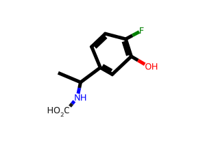 CC(NC(=O)O)c1ccc(F)c(O)c1